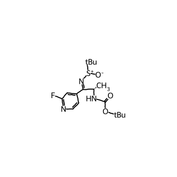 C[C@H](NC(=O)OC(C)(C)C)C(=N[S+]([O-])C(C)(C)C)c1ccnc(F)c1